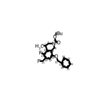 CC1CN(C(=O)OC(C)(C)C)Cc2c(OCc3ccccc3)cc(CF)c(F)c21